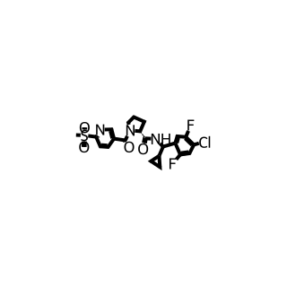 CS(=O)(=O)c1ccc(C(=O)N2CCC[C@@H]2C(=O)NC(c2cc(F)c(Cl)cc2F)C2CC2)cn1